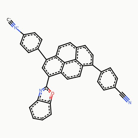 [C-]#[N+]c1ccc(-c2cc(-c3nc4ccccc4o3)c3ccc4c(-c5ccc(C#N)cc5)ccc5ccc2c3c54)cc1